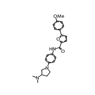 COc1ccc(-c2ccc(C(=O)Nc3ccc(N4CCC(N(C)C)C4)cc3)o2)cc1